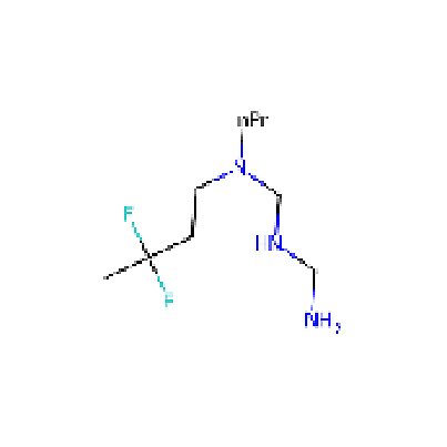 CCCN(CCC(C)(F)F)CNCN